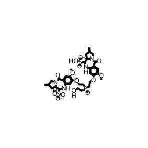 C=C1C[C@H]2C(S(=O)(=O)O)Nc3cc(OCCP(=O)(CCO)CCOc4cc5c(cc4OC)C(=O)N4CC(=C)C[C@H]4C(S(=O)(=O)O)N5)c(OC)cc3C(=O)N2C1